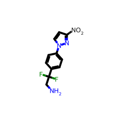 NCC(F)(F)c1ccc(-n2ccc([N+](=O)[O-])n2)cc1